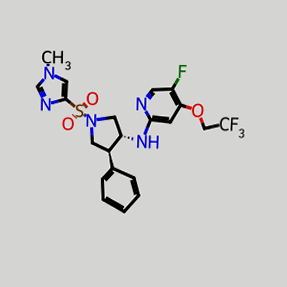 Cn1cnc(S(=O)(=O)N2C[C@H](Nc3cc(OCC(F)(F)F)c(F)cn3)[C@@H](c3ccccc3)C2)c1